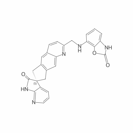 O=C1Nc2ncccc2[C@@]12Cc1cc3ccc(CNc4cccc5[nH]c(=O)oc45)nc3cc1C2